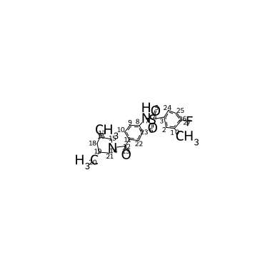 Cc1cc(S(=O)(=O)Nc2ccc(C(=O)N3CC(C)CC(C)C3)cc2)ccc1F